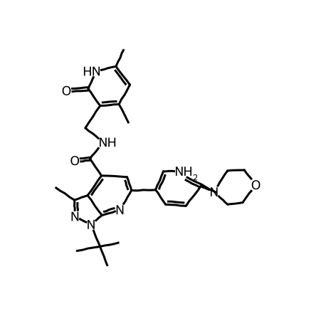 C=C(/C=C\C(=C/N)c1cc(C(=O)NCc2c(C)cc(C)[nH]c2=O)c2c(C)nn(C(C)(C)C)c2n1)N1CCOCC1